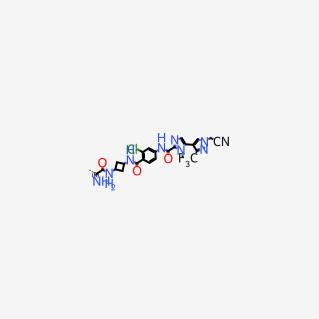 C[C@@H](N)C(=O)NC1CC(NC(=O)c2ccc(NC(=O)c3ncc(-c4cn(CC#N)nc4C(F)(F)F)n3C)cc2Cl)C1